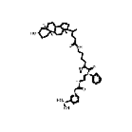 CNC(CCCCNC(=O)CCC(C)C1CCC2C3CC[C@H]4C[C@@H](O)CC[C@@]4(C)C3CC[C@@]12C)C(=O)N(CCNC(=O)C[n+]1cccc(B(O)O)c1)c1ccccc1